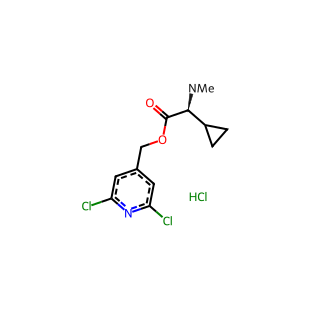 CN[C@H](C(=O)OCc1cc(Cl)nc(Cl)c1)C1CC1.Cl